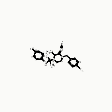 CC1C(=C=O)N(Cc2ccc(F)cc2)CCN1C(C)(C)Oc1ccc(Cl)cc1